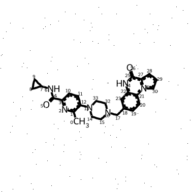 Cc1nc(C(=O)NC2CC2)ccc1N1CCN(Cc2ccc3c(c2)[nH]c(=O)c2cccn23)CC1